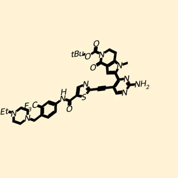 CCN1CCN(Cc2ccc(NC(=O)c3cnc(C#Cc4cnc(N)nc4-c4cc5c(n4C)CCN(C(=O)OC(C)(C)C)C5=O)s3)cc2C(F)(F)F)CC1